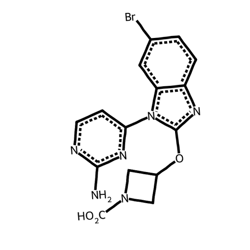 Nc1nccc(-n2c(OC3CN(C(=O)O)C3)nc3ccc(Br)cc32)n1